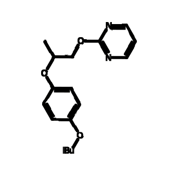 CCC(C)Oc1ccc(OC(C)COc2ncccn2)cc1